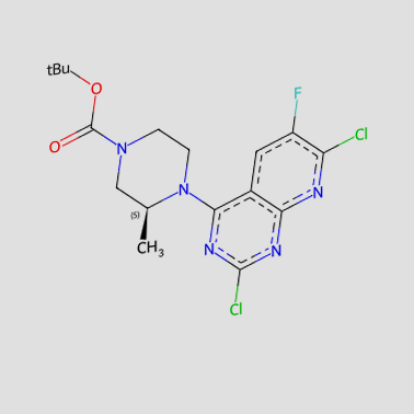 C[C@H]1CN(C(=O)OC(C)(C)C)CCN1c1nc(Cl)nc2nc(Cl)c(F)cc12